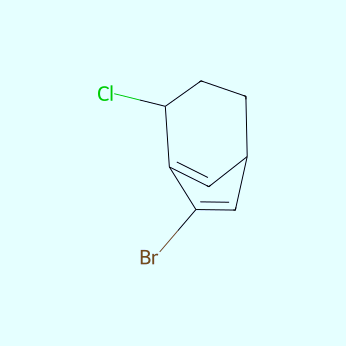 ClC1CCC2C=C(Br)C1=C2